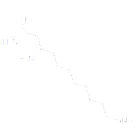 CCCCCCCCCCCCCCCCCC(N)CC(C)N